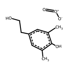 Cc1cc(CCO)cc(C)c1O.O=[O+][O-]